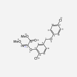 CO/N=C(/Oc1cc(COc2ccc(Cl)cc2)ccc1Cl)C(=O)OC